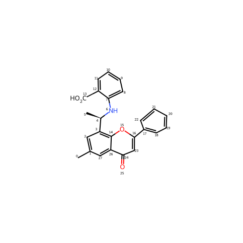 Cc1cc([C@@H](C)Nc2ccccc2C(=O)O)c2oc(-c3ccccc3)cc(=O)c2c1